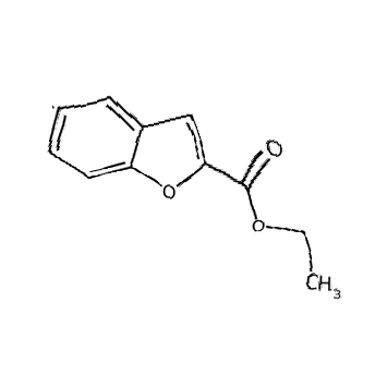 CCOC(=O)c1cc2c[c]ccc2o1